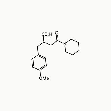 COc1ccc(C[C@H](CC(=O)N2CCCCC2)C(=O)O)cc1